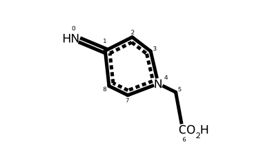 N=c1ccn(CC(=O)O)cc1